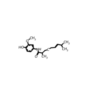 COc1cc(NC(=O)C(C)CCCC=CC(C)C)ccc1O